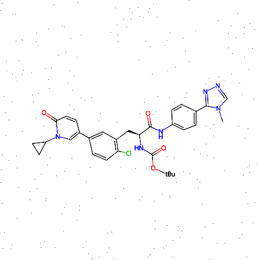 Cn1cnnc1-c1ccc(NC(=O)[C@H](Cc2cc(-c3ccc(=O)n(C4CC4)c3)ccc2Cl)NC(=O)OC(C)(C)C)cc1